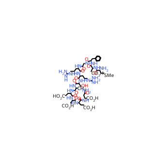 CSCCC(N)C(=O)NC(CC(=O)O)C(=O)NC(Cc1ccccc1)C(=O)NCC(=O)NC(CCCNC(=N)N)C(=O)NC(CCCNC(=N)N)C(=O)NC(CO)C(=O)NC(C)C(=O)NC(CCC(=O)O)C(=O)NC(CC(=O)O)C(=O)NC(CCC(=O)O)C(=O)NC(CC(N)=O)C(=O)O